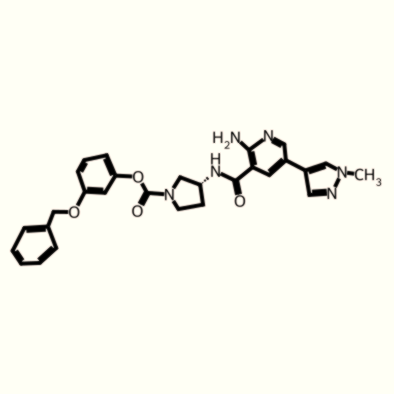 Cn1cc(-c2cnc(N)c(C(=O)N[C@@H]3CCN(C(=O)Oc4cccc(OCc5ccccc5)c4)C3)c2)cn1